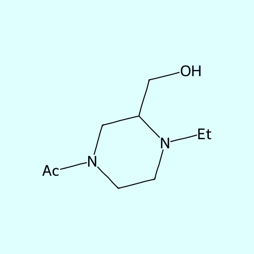 CCN1CCN(C(C)=O)CC1CO